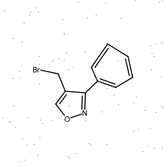 BrCc1conc1-c1ccccc1